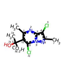 Cc1nc2c(Cl)c(C)nn2c(Cl)c1C(C)(O)C(=O)O